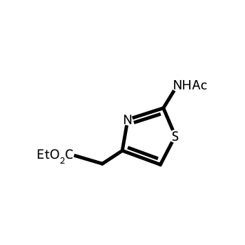 CCOC(=O)Cc1csc(NC(C)=O)n1